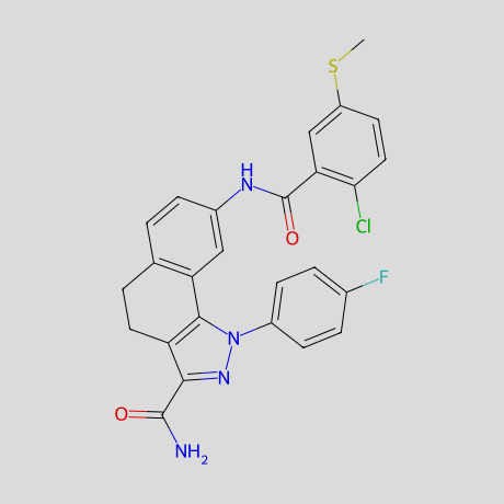 CSc1ccc(Cl)c(C(=O)Nc2ccc3c(c2)-c2c(c(C(N)=O)nn2-c2ccc(F)cc2)CC3)c1